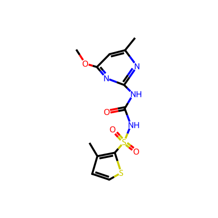 COc1cc(C)nc(NC(=O)NS(=O)(=O)c2sccc2C)n1